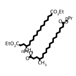 CCCOC(=O)CCCCCCCCCCCCCC(C)CCC(=O)OCCC.CCOC(=O)CCCCCCCCCCCCCC(C)CCC(=O)OCC